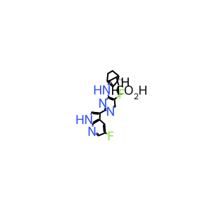 O=C(O)[C@@H]1C2CCC(CC2)[C@H]1Nc1nc(-c2c[nH]c3ncc(F)cc23)ncc1F